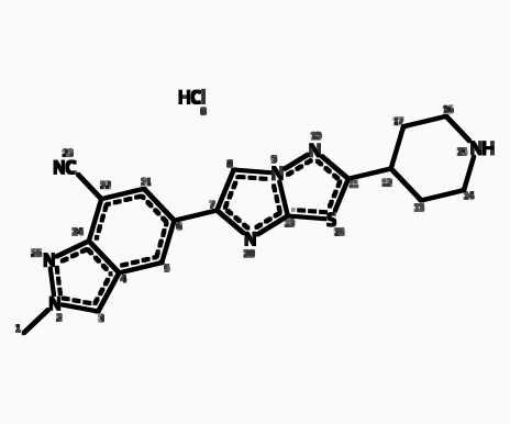 Cl.Cn1cc2cc(-c3cn4nc(C5CCNCC5)sc4n3)cc(C#N)c2n1